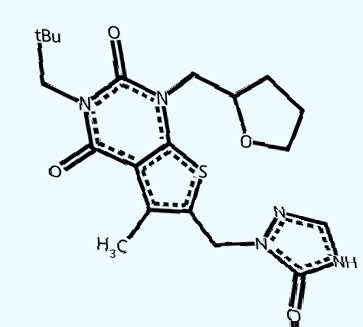 Cc1c(Cn2nc[nH]c2=O)sc2c1c(=O)n(CC(C)(C)C)c(=O)n2CC1CCCO1